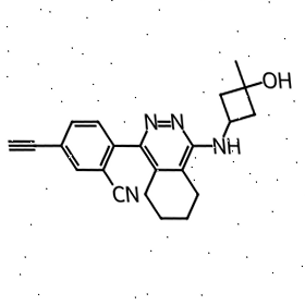 C#Cc1ccc(-c2nnc(NC3CC(C)(O)C3)c3c2CCCC3)c(C#N)c1